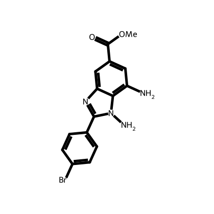 COC(=O)c1cc(N)c2c(c1)nc(-c1ccc(Br)cc1)n2N